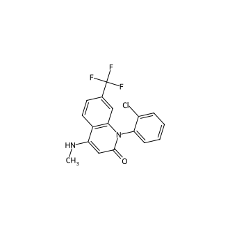 CNc1cc(=O)n(-c2ccccc2Cl)c2cc(C(F)(F)F)ccc12